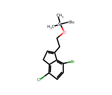 CC(C)(C)[Si](C)(C)OCCC1=CCc2c(Cl)ccc(Br)c21